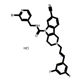 Cl.N#Cc1ccc2c3c(n(C(=O)NCc4ccnc(Br)c4)c2c1)CCN(C/C=C/c1cc(F)cc(F)c1)C3